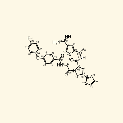 C[C@@H](NC(=O)[C@@H]1C[C@@H](c2nccs2)CN1C(=O)CNC(=O)c1ccc(Oc2ccc(F)cc2)cc1)c1cc(C(=N)N)cs1